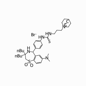 CCCCC1(CCCC)CS(=O)(=O)c2ccc(N(C)C)cc2C(c2ccc(NC(=S)NCCC[N+]34CCC(CC3)CC4)cc2)N1.[Br-]